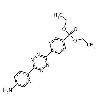 CCOP(=O)(OCC)c1ccc(-c2nnc(-c3ccc(N)cn3)nn2)nc1